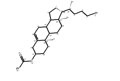 CC(C)CCC[C@@H](C)[C@H]1CCC2C3CC=C4CC(OC(=O)C(C)C)CC[C@]4(C)C3CC[C@@]21C